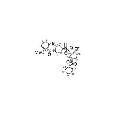 COc1ccccc1C(=O)N1CCC(NS(=O)(=O)c2cc(S(=O)(=O)c3ccccc3)ccc2C(F)(F)F)CC1I